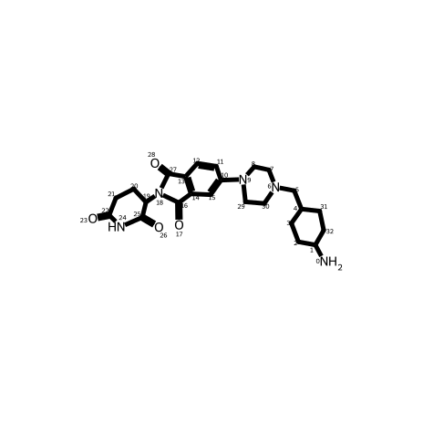 NC1CCC(CN2CCN(c3ccc4c(c3)C(=O)N(C3CCC(=O)NC3=O)C4=O)CC2)CC1